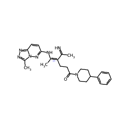 CC(=N)/C(CCC(=O)N1CCC(c2ccccc2)CC1)=C(/C)Nc1ccc2nnc(C)n2n1